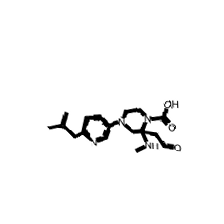 CNC1(CC=O)CN(c2ccc(CC(C)C)nc2)CCN1C(=O)O